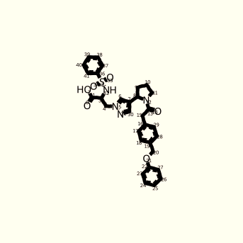 O=C(O)C(Cn1cc(C2CCCN2C(=O)Cc2ccc(COc3ccccc3)cc2)cn1)NS(=O)(=O)c1ccccc1